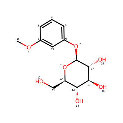 COc1[c]ccc(O[C@@H]2O[C@H](CO)[C@@H](O)[C@H](O)[C@H]2O)c1